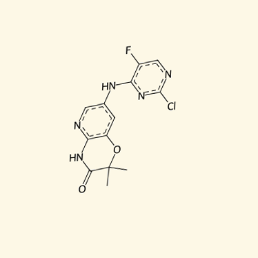 CC1(C)Oc2cc(Nc3nc(Cl)ncc3F)cnc2NC1=O